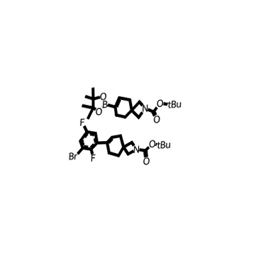 CC(C)(C)OC(=O)N1CC2(CC=C(B3OC(C)(C)C(C)(C)O3)CC2)C1.CC(C)(C)OC(=O)N1CC2(CC=C(c3cc(F)cc(Br)c3F)CC2)C1